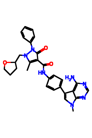 Cc1c(C(=O)Nc2ccc(-c3cn(C)c4ncnc(N)c34)cc2)c(=O)n(-c2ccccc2)n1CC1CCCO1